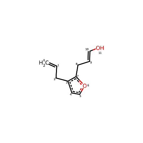 C=CCc1ccoc1CC=CO